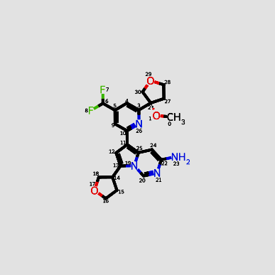 CO[C@@]1(c2cc(C(F)F)cc(-c3cc(C4CCOC4)n4cnc(N)cc34)n2)CCOC1